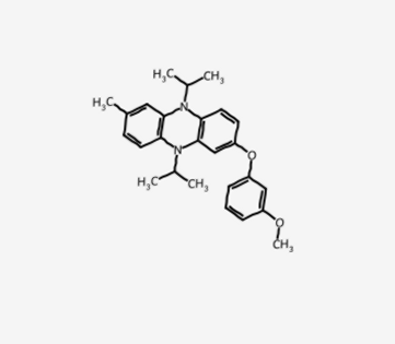 COc1cccc(Oc2ccc3c(c2)N(C(C)C)c2ccc(C)cc2N3C(C)C)c1